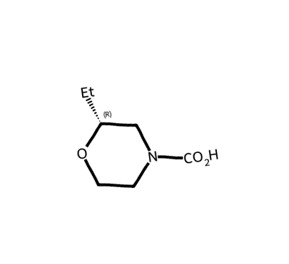 CC[C@@H]1CN(C(=O)O)CCO1